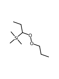 CCCOOC(CC)[Si](C)(C)C